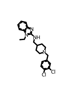 CCn1c(NCC2CCN(Cc3ccc(Cl)c(Cl)c3)CC2)nc2ccccc21